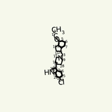 CCCOc1cccc2c1CCC2CN1CC=C(c2c[nH]c3cc(Cl)ccc23)CC1